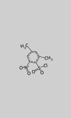 Cc1cc(C)c(S(=O)(=O)Cl)c([N+](=O)[O-])c1